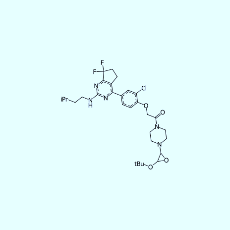 CC(C)CCNc1nc(-c2ccc(OCC(=O)N3CCN(C4OC4OC(C)(C)C)CC3)c(Cl)c2)c2c(n1)C(F)(F)CC2